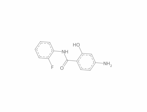 Nc1ccc(C(=O)Nc2ccccc2F)c(O)c1